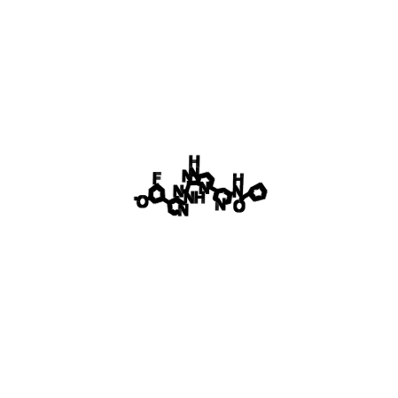 COc1cc(F)cc(-c2ccnc3[nH]c(-c4n[nH]c5ccc(-c6cncc(NC(=O)c7ccccc7)c6)nc45)nc23)c1